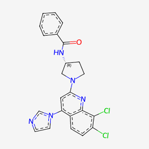 O=C(N[C@@H]1CCN(c2cc(-n3ccnc3)c3ccc(Cl)c(Cl)c3n2)C1)c1ccccc1